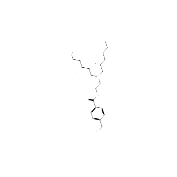 CCCCCCN(CCNC(=O)c1ccc(CN)cc1)C[C@H](O)[C@@H](O)[C@H](O)CO